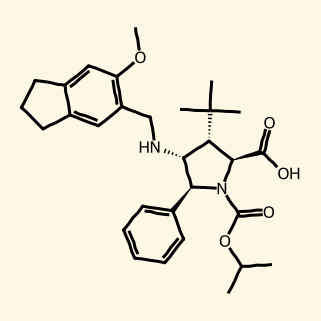 COc1cc2c(cc1CN[C@@H]1[C@H](C(C)(C)C)[C@@H](C(=O)O)N(C(=O)OC(C)C)[C@H]1c1ccccc1)CCC2